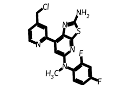 CN(c1cc(-c2cc(CCl)ccn2)c2nc(N)sc2n1)c1ccc(F)cc1F